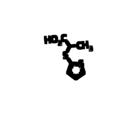 CC(Sc1cccs1)C(=O)O